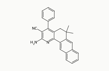 CC1(C)Cc2c(nc(N)c(C#N)c2-c2ccccc2)-c2cc3ccccc3cc21